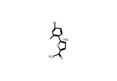 Cc1cc(Br)ccc1-c1ccc(C(N)=O)o1.Cl